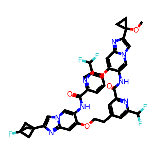 CCOc1cc2nc(C3(OC)CC3)cn2cc1NC(=O)c1cc(CCOc2cc3nc(C45CC(F)(C4)C5)cn3cc2NC(=O)c2cccc(C(F)F)n2)cc(C(F)F)n1